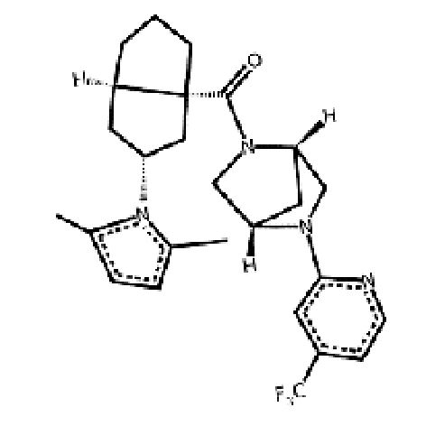 Cc1ccc(C)n1[C@@H]1C[C@H]2CCC[C@@]2(C(=O)N2C[C@@H]3C[C@H]2CN3c2cc(C(F)(F)F)ccn2)C1